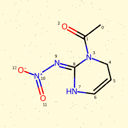 CC(=O)N1CC=CNC1=N[N+](=O)[O-]